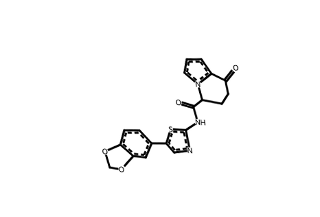 O=C1CCC(C(=O)Nc2ncc(-c3ccc4c(c3)OCO4)s2)n2cccc21